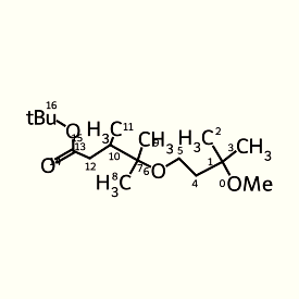 COC(C)(C)CCOC(C)(C)C(C)CC(=O)OC(C)(C)C